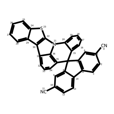 N#Cc1ccc2c(c1)C1(c3cc(C#N)ccc3-2)c2ccccc2-n2c3sc4ccccc4c3c3cccc1c32